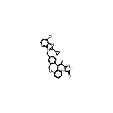 C/C(=C1\c2ccc(Cn3c(C4CC4)nc4c(Cl)ccnc43)cc2COc2ccccc21)c1noc(=O)[nH]1